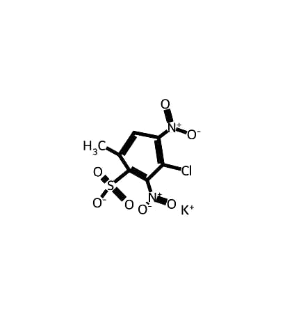 Cc1cc([N+](=O)[O-])c(Cl)c([N+](=O)[O-])c1S(=O)(=O)[O-].[K+]